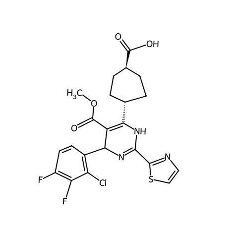 COC(=O)C1=C([C@H]2CC[C@H](C(=O)O)CC2)NC(c2nccs2)=NC1c1ccc(F)c(F)c1Cl